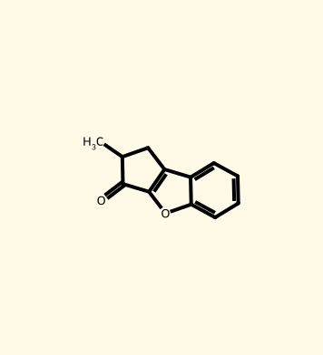 CC1Cc2c(oc3ccccc23)C1=O